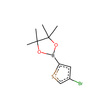 CC1(C)OB(c2cc(Br)cs2)OC1(C)C